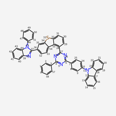 c1ccc(-c2nc(-c3ccc(-n4c5ccccc5c5ccccc54)cc3)nc(-c3cccc4sc5cc(-c6nc7ccccc7n6-c6ccccc6)ccc5c34)n2)cc1